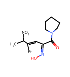 CC/C(=C\C(=N/O)C(=O)N1CCCCC1)C(C)[N+](=O)[O-]